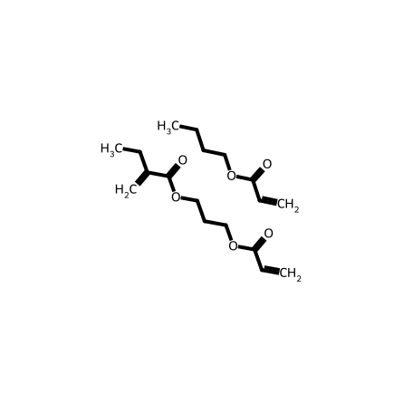 C=CC(=O)OCCCC.C=CC(=O)OCCCOC(=O)C(=C)CC